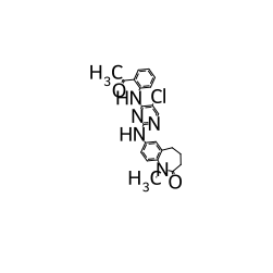 CC(=O)c1ccccc1Nc1nc(Nc2ccc3c(c2)CCCC(=O)N3C)ncc1Cl